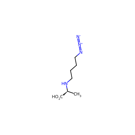 C[C@H](NCCCCN=[N+]=[N-])C(=O)O